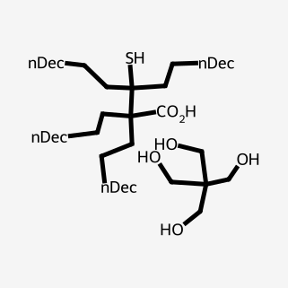 CCCCCCCCCCCCC(S)(CCCCCCCCCCCC)C(CCCCCCCCCCCC)(CCCCCCCCCCCC)C(=O)O.OCC(CO)(CO)CO